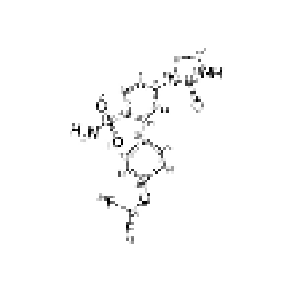 NS(=O)(=O)c1ccc(N2CCNC2=O)cc1-c1ccc(OC(F)F)cc1